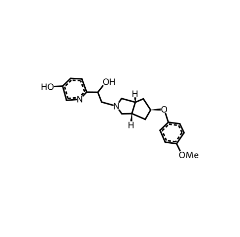 COc1ccc(O[C@H]2C[C@@H]3CN(CC(O)c4ccc(O)cn4)C[C@@H]3C2)cc1